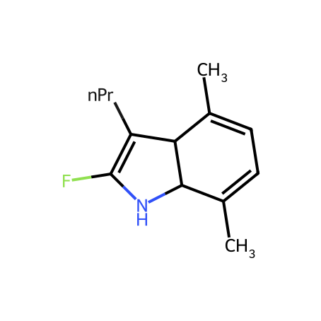 CCCC1=C(F)NC2C(C)=CC=C(C)C12